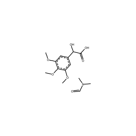 CN(C)C=O.COc1cc(C(O)C(=O)O)cc(OC)c1OC